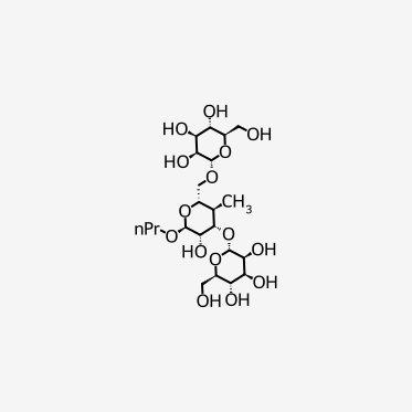 CCCO[C@H]1O[C@H](CO[C@H]2O[C@H](CO)[C@@H](O)[C@H](O)[C@@H]2O)[C@@H](C)[C@H](O[C@H]2O[C@H](CO)[C@@H](O)[C@H](O)[C@@H]2O)[C@@H]1O